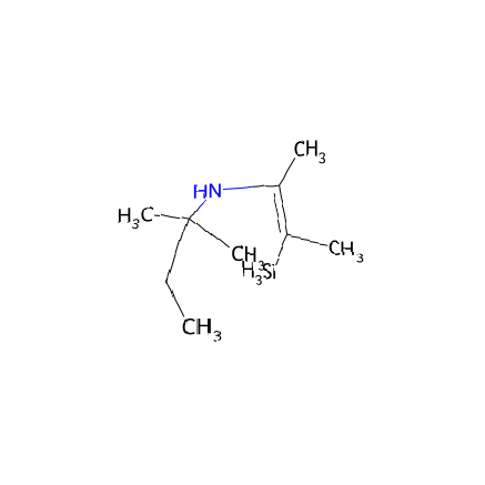 CCC(C)(C)NC(C)=C(C)[SiH3]